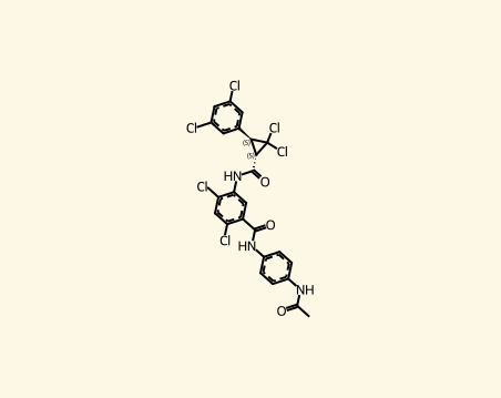 CC(=O)Nc1ccc(NC(=O)c2cc(NC(=O)[C@@H]3[C@@H](c4cc(Cl)cc(Cl)c4)C3(Cl)Cl)c(Cl)cc2Cl)cc1